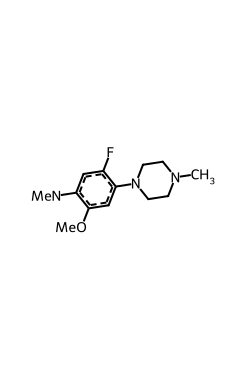 CNc1cc(F)c(N2CCN(C)CC2)cc1OC